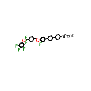 CCCCCC1CCC(C2CCC(c3ccc(OCC4CCC(C(F)(F)Oc5cc(F)c(F)c(F)c5)CC4)c(F)c3)CC2)CC1